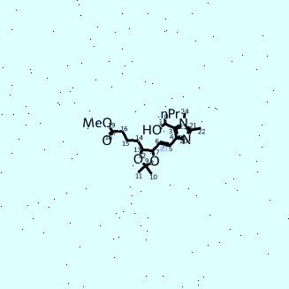 CCCC(O)c1c(/C=C/C2OC(C)(C)OC2CCCC(=O)OC)nc(C)n1C